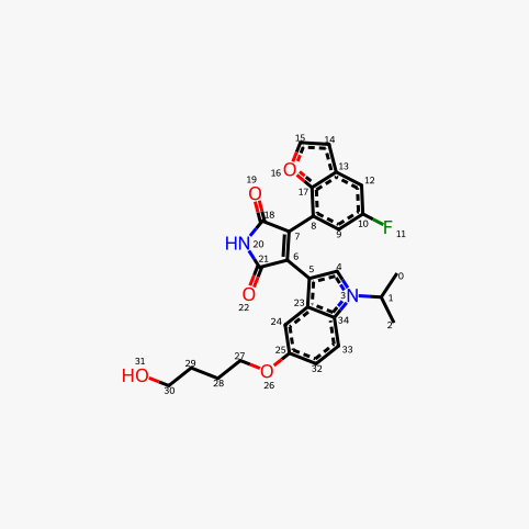 CC(C)n1cc(C2=C(c3cc(F)cc4ccoc34)C(=O)NC2=O)c2cc(OCCCCO)ccc21